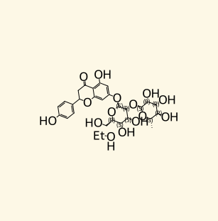 CCO.C[C@@H]1O[C@@H](O[C@H]2[C@H](Oc3cc(O)c4c(c3)OC(c3ccc(O)cc3)CC4=O)O[C@H](CO)[C@@H](O)[C@@H]2O)[C@H](O)[C@H](O)[C@H]1O